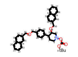 CC(C)(C)OC(=O)ON1CCC(c2ccc(COCc3ccc4ccccc4c3)cc2)C(OCc2ccc3ccccc3c2)C1